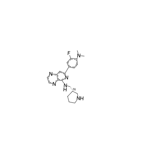 CN(C)c1ccc(-c2cc3nccnc3c(NC[C@H]3CCCNC3)n2)cc1F